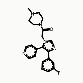 CN1CCN(C(=O)Cn2cnc(-c3cccc(F)c3)c2-c2ccncc2)CC1